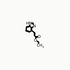 CCOC(=O)C=Cc1cccc2[nH]cnc12